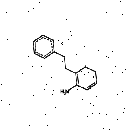 NC1=C(CCc2ccccc2)[CH]CC=C1